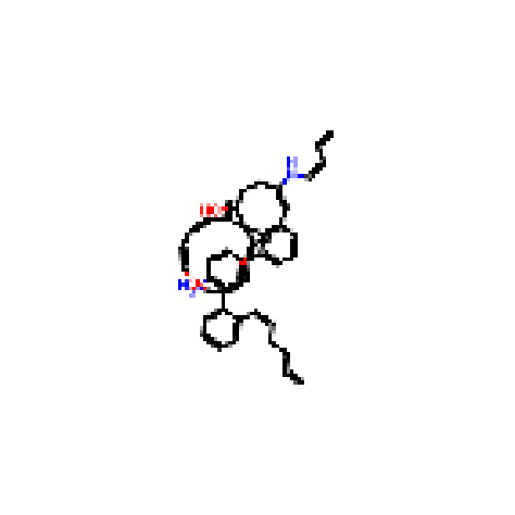 C=C/C=C\N/C1=C/c2cccc(-c3ccc(N)c(-c4ccccc4/C=C\CCC=C)c3)c2C2(C(=C)/C=C\C=C/OC/C=C\C=C\2C)C(O)CC1